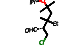 CCC(C)(CC(C)(C)OC(C)C)[C@@H](C=O)CCl